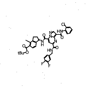 Cc1c(C(=O)OC(C)(C)C)ccc2c1CC[C@@H]2NC(=O)c1cc(C(=O)NCc2ccc(F)c(F)c2)nc2c(C(=O)Nc3ccccc3Cl)cnn12